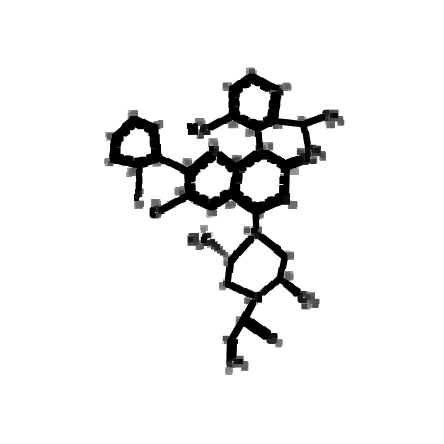 C=CC(=O)N1C[C@H](C)N(c2nc(=O)n(-c3c(C)ccnc3C(C)C)c3nc(-c4ccccc4F)c(Cl)cc23)C[C@H]1C